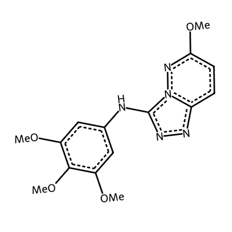 COc1ccc2nnc(Nc3cc(OC)c(OC)c(OC)c3)n2n1